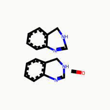 C1=Nc2ccccc2CN1.C1=Nc2ccccc2CN1.C=O